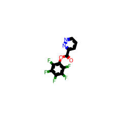 O=C(Oc1c(F)c(F)c(F)c(F)c1F)c1cccnn1